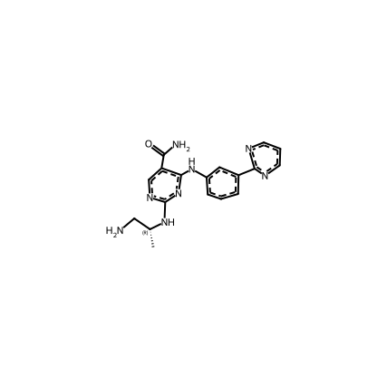 C[C@H](CN)Nc1ncc(C(N)=O)c(Nc2cccc(-c3ncccn3)c2)n1